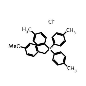 COc1ccc(C[P+](c2ccc(C)cc2)(c2ccc(C)cc2)c2ccc(C)cc2)cc1.[Cl-]